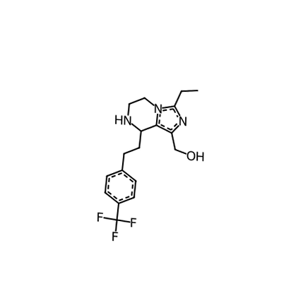 CCc1nc(CO)c2n1CCNC2CCc1ccc(C(F)(F)F)cc1